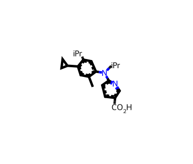 Cc1cc(C2CC2)c(C(C)C)cc1N(c1ccc(C(=O)O)cn1)C(C)C